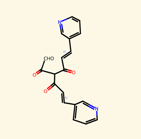 O=CC(=O)C(C(=O)/C=C/c1cccnc1)C(=O)/C=C/c1cccnc1